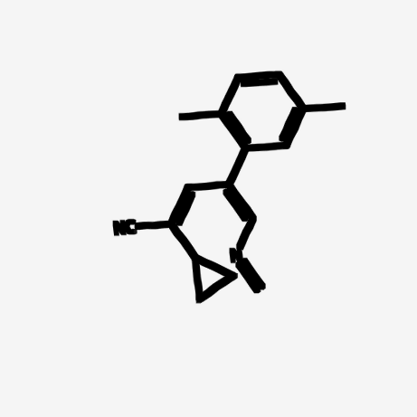 C=N/C=C(\C=C(\C#N)C1CC1)c1cc(C)ccc1C